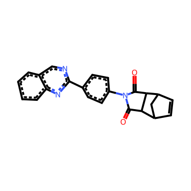 O=C1C2C3C=CC(C3)C2C(=O)N1c1ccc(-c2ncc3ccccc3n2)cc1